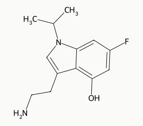 CC(C)n1cc(CCN)c2c(O)cc(F)cc21